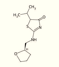 CC(C)C1SC(NC[C@H]2CCCO2)=NC1=O